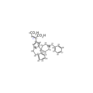 O=C(O)/C=C(\C(=O)O)c1cn2c(n1)C1(CCN(Cc3ccccc3)CC1)c1ccccc1CC2